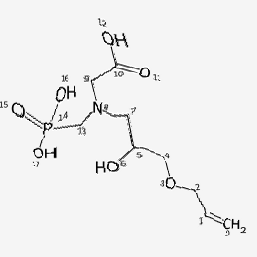 C=CCOCC(O)CN(CC(=O)O)CP(=O)(O)O